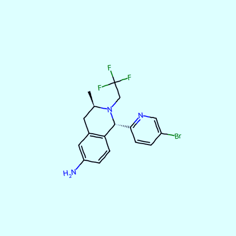 C[C@@H]1Cc2cc(N)ccc2[C@@H](c2ccc(Br)cn2)N1CC(F)(F)F